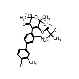 CCc1cc(-c2ccc(Cl)c(C)c2)ccc1C1=C(OC(=O)C(C)(C)C)C(C)(C)OC(C)(C)C1=O